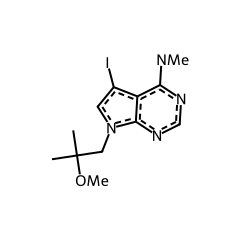 CNc1ncnc2c1c(I)cn2CC(C)(C)OC